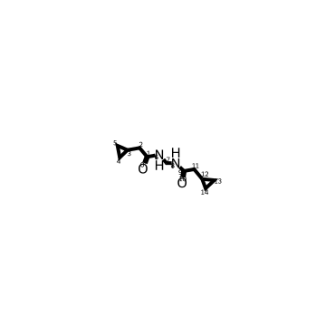 O=C(CC1CC1)NCNC(=O)CC1CC1